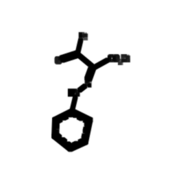 CCOC(=O)C(=NNc1ccccc1)C(=O)CC